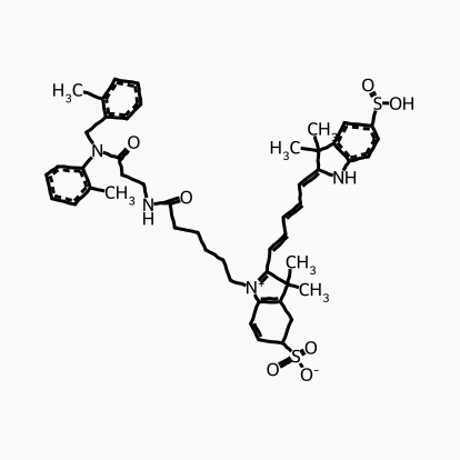 Cc1ccccc1CN(C(=O)CCNC(=O)CCCCC[N+]1=C(/C=C/C=C/C=C2\Nc3ccc(S(=O)O)cc3C2(C)C)C(C)(C)C2=C1C=CC(S(=O)(=O)[O-])C2)c1ccccc1C